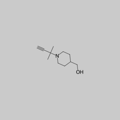 C#CC(C)(C)N1CCC(CO)CC1